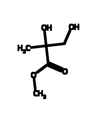 COC(=O)C(C)(O)CO